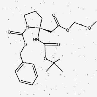 COCOC(=O)C[C@]1(NC(=O)OC(C)(C)C)CCCN1C(=O)OCc1ccccc1